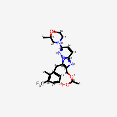 Cc1c(Cc2c(COC(C)O)nc3ccc(N4CCOC(C)C4)nn23)cccc1C(F)(F)F